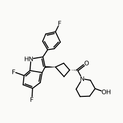 O=C([C@H]1C[C@H](c2c(-c3ccc(F)cc3)[nH]c3c(F)cc(F)cc32)C1)N1CCCC(O)C1